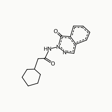 O=C(CC1CCCCC1)Nn1ncc2ccccc2c1=O